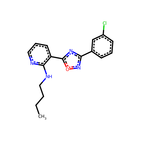 CCCCNc1ncccc1-c1nc(-c2cccc(Cl)c2)no1